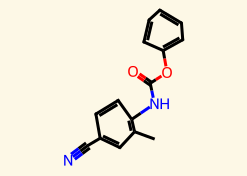 Cc1cc(C#N)ccc1NC(=O)Oc1ccccc1